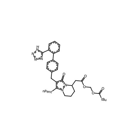 CCCCCc1c(Cc2ccc(-c3ccccc3-c3nnn[nH]3)cc2)c(=O)n2n1CCCC2CC(=O)OCOC(=O)C(C)(C)C